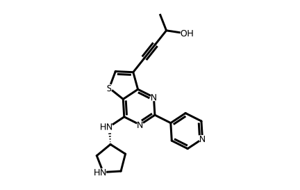 CC(O)C#Cc1csc2c(N[C@@H]3CCNC3)nc(-c3ccncc3)nc12